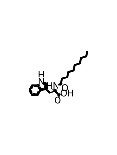 CCCCCCCCCC(=O)N[C@H](Cc1c[nH]c2ccccc12)C(=O)O